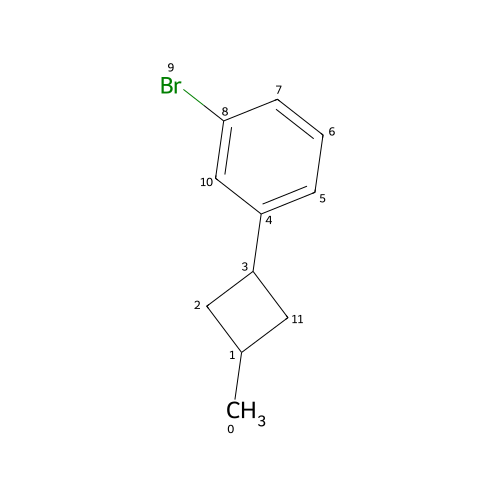 CC1CC(c2cccc(Br)c2)C1